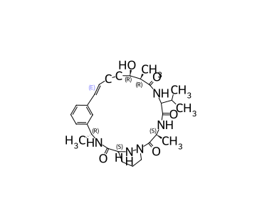 CC(C)C1NC(=O)[C@H](C)[C@H](O)CC/C=C/c2cccc(c2)[C@@H](C)NC(=O)[C@@H]2CCCN(N2)C(=O)[C@H](C)NC1=O